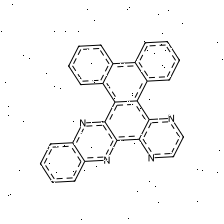 c1ccc2nc3c(nc2c1)c1nccnc1c1c2ccccc2c2ccccc2c31